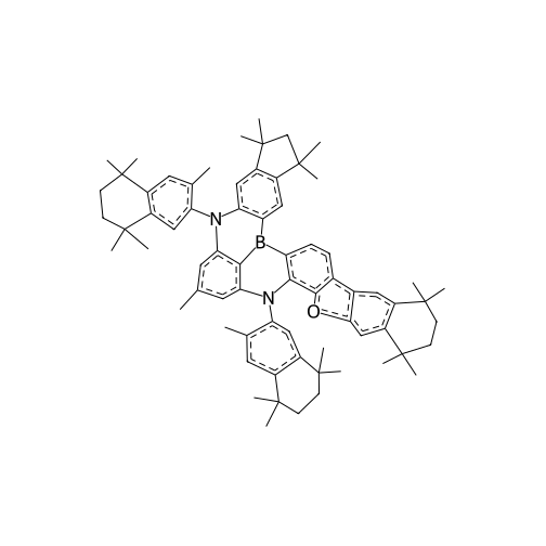 Cc1cc2c3c(c1)N(c1cc4c(cc1C)C(C)(C)CCC4(C)C)c1c(ccc4c1oc1cc5c(cc14)C(C)(C)CCC5(C)C)B3c1cc3c(cc1N2c1cc2c(cc1C)C(C)(C)CCC2(C)C)C(C)(C)CC3(C)C